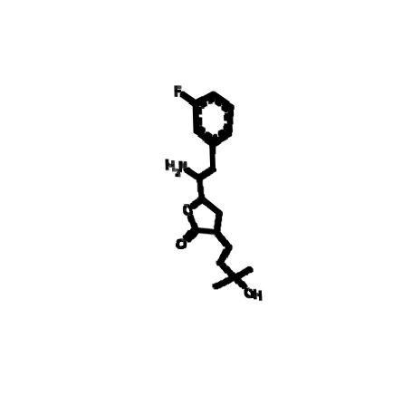 CC(C)(O)CCC1CC(C(N)Cc2cccc(F)c2)OC1=O